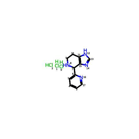 Cl.Cl.Cl.c1ccc(C2NCCc3[nH]cnc32)nc1